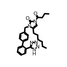 CCCCCCc1cn(C(=O)CCC)c(=O)n1Cc1ccc(-c2ccccc2-c2nnn[nH]2)cc1